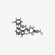 Cc1cccc(Nc2ncnn3ccc(CN4CCC(N)CC4)c23)n1